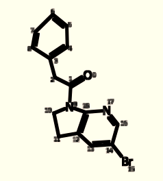 O=C(Cc1ccccc1)N1CCc2cc(Br)cnc21